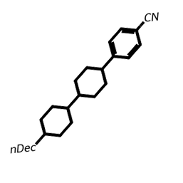 CCCCCCCCCCC1CCC(C2CCC(c3ccc(C#N)cc3)CC2)CC1